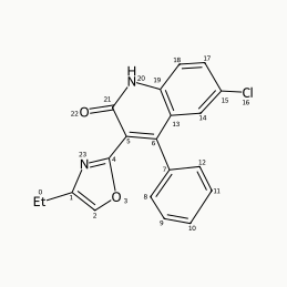 CCc1coc(-c2c(-c3ccccc3)c3cc(Cl)ccc3[nH]c2=O)n1